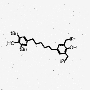 CC(C)Cc1cc(CCCCCCc2cc(C(C)(C)C)c(O)c(C(C)(C)C)c2)cc(CC(C)C)c1O